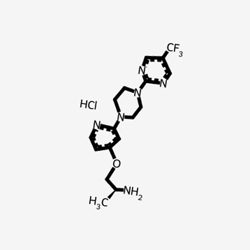 C[C@H](N)COc1ccnc(N2CCN(c3ncc(C(F)(F)F)cn3)CC2)c1.Cl